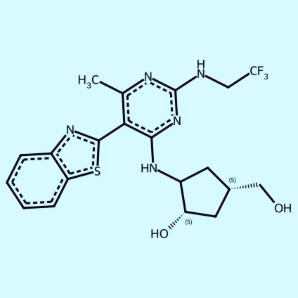 Cc1nc(NCC(F)(F)F)nc(NC2C[C@H](CO)C[C@@H]2O)c1-c1nc2ccccc2s1